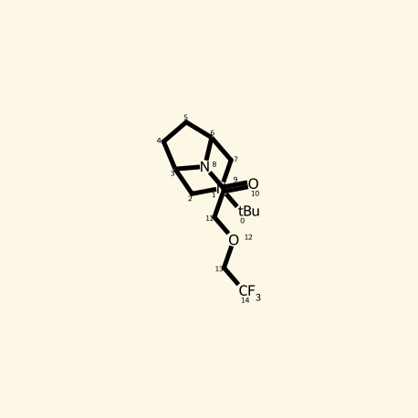 CC(C)(C)N1CC2CCC(C1)N2C(=O)COCC(F)(F)F